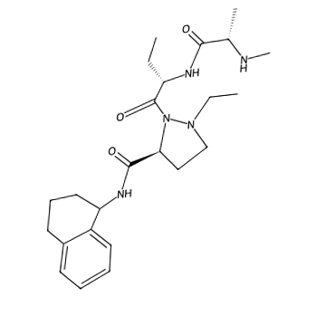 CC[C@H](NC(=O)[C@H](C)NC)C(=O)N1[C@H](C(=O)NC2CCCc3ccccc32)CCN1CC